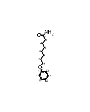 NC(=O)CCCCCCCOc1cc[c]cc1